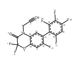 C#CCN1C(=O)C(F)(F)Oc2cc(F)c(-c3c(F)cc(F)c(F)c3F)cc21